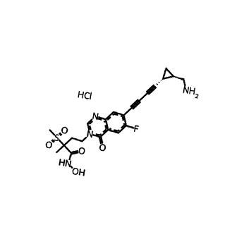 CC(CCn1cnc2cc(C#CC#C[C@@H]3C[C@H]3CN)c(F)cc2c1=O)(C(=O)NO)S(C)(=O)=O.Cl